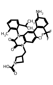 Cc1cccc(C(C)C)c1-n1c(=O)c(=O)n(CC2CN(C(=O)O)C2)c2cc(Cl)c(-c3cc(N)ccc3C(F)(F)F)cc21